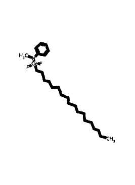 CCCCCCCCCCCCCCCCC[CH2][Ge]([F])([F])[N](C)c1ccccc1